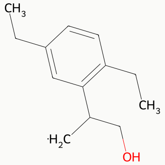 [CH2]C(CO)c1cc(CC)ccc1CC